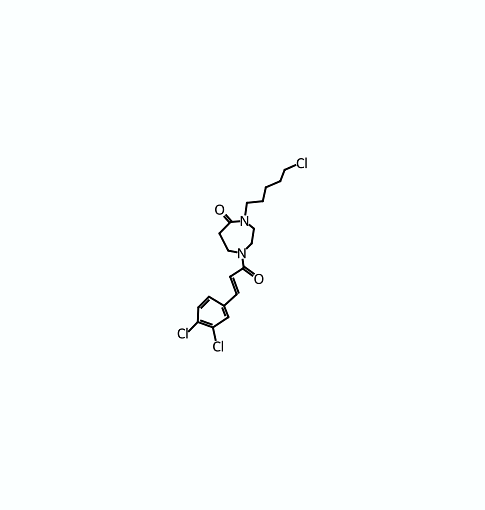 O=C(C=Cc1ccc(Cl)c(Cl)c1)N1CCC(=O)N(CCCCCCl)CC1